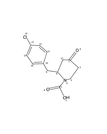 O=C1CCN(C(=O)O)C(Cc2ccc(Cl)cc2)C1